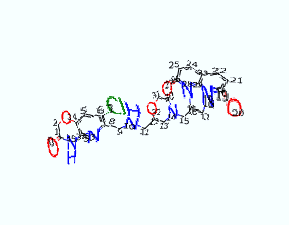 O=C1COc2cc(Cl)c(CNCC3CN(CC4Cn5c(=O)ccc6ccc(=O)n4c65)CCO3)nc2N1